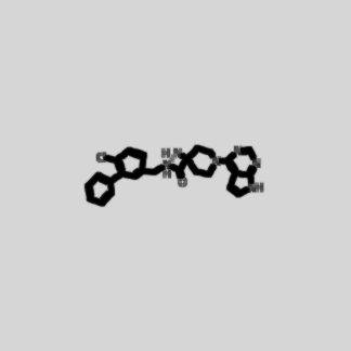 NC1(C(=O)NCc2ccc(Cl)c(-c3ccccc3)c2)CCN(c2ncnc3[nH]ccc23)CC1